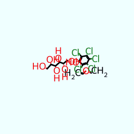 C=COC=C.OC[C@@H](O)[C@@H](O)[C@H](O)[C@@H](O)CO.Oc1c(Cl)c(Cl)c(Cl)c(Cl)c1Cl